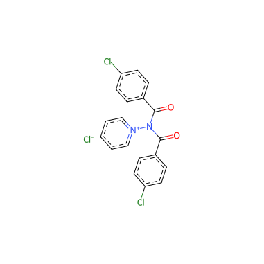 O=C(c1ccc(Cl)cc1)N(C(=O)c1ccc(Cl)cc1)[n+]1ccccc1.[Cl-]